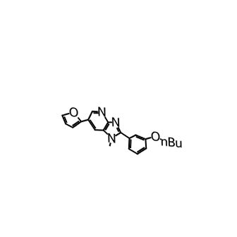 CCCCOc1cccc(-c2nc3ncc(-c4ccco4)cc3n2C)c1